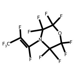 FC(=C(F)C(F)(F)F)N1C(F)(F)C(F)(F)OC(F)(F)C1(F)F